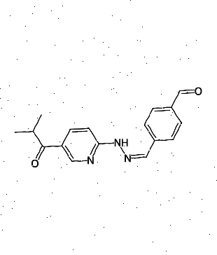 CC(C)C(=O)c1ccc(N/N=C\c2ccc(C=O)cc2)nc1